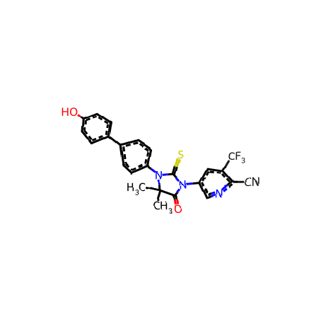 CC1(C)C(=O)N(c2cnc(C#N)c(C(F)(F)F)c2)C(=S)N1c1ccc(-c2ccc(O)cc2)cc1